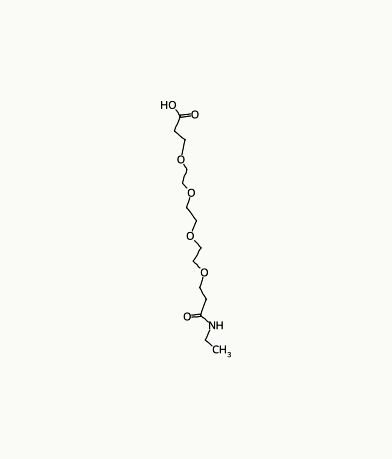 CCNC(=O)CCOCCOCCOCCOCCC(=O)O